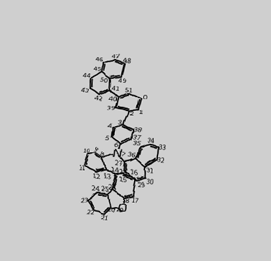 c1cc(-c2ccc(N(c3ccccc3-c3cccc4oc5ccccc5c34)c3cccc4ccccc34)cc2)cc(-c2cccc3ccccc23)c1